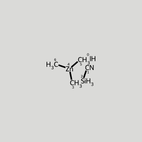 I.N#C[SiH3].[CH3][Zn]([CH3])[CH3]